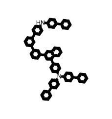 c1ccc(-c2ccc(Nc3ccc(-c4cccc(-c5cccc(-c6cc(-c7ccc(N(c8ccc(-c9ccccc9)cc8)c8ccc(-c9ccccc9)cc8)cc7)c7ccccc7c6)c5)c4)cc3)cc2)cc1